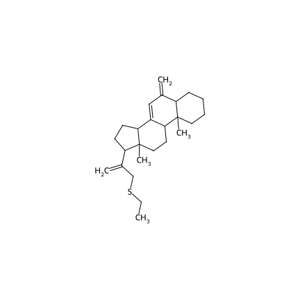 C=C1C=C2C(CCC3(C)C(C(=C)CSCC)CCC23)C2(C)CCCCC12